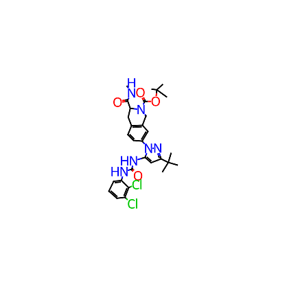 CNC(=O)C1Cc2ccc(-n3nc(C(C)(C)C)cc3NC(=O)Nc3cccc(Cl)c3Cl)cc2CN1C(=O)OC(C)(C)C